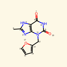 Cc1nc2c([nH]1)c(=O)[nH]c(=O)n2Cc1ccco1